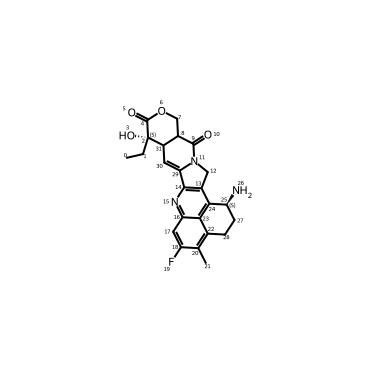 CC[C@@]1(O)C(=O)OCC2C(=O)N3Cc4c(nc5cc(F)c(C)c6c5c4[C@@H](N)CC6)C3=CC21